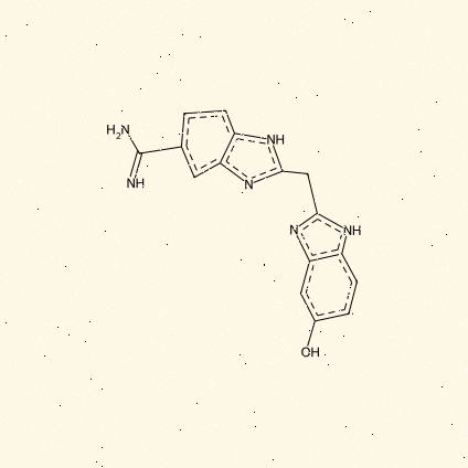 N=C(N)c1ccc2[nH]c(Cc3nc4cc(O)[c]cc4[nH]3)nc2c1